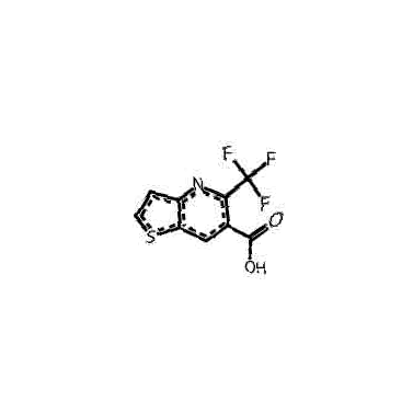 O=C(O)c1cc2sccc2nc1C(F)(F)F